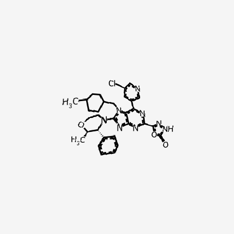 CC1CCC(Cn2c(N3CCO[C@H](C)[C@H]3c3ccccc3)nc3nc(-c4n[nH]c(=O)o4)nc(-c4cncc(Cl)c4)c32)CC1